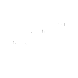 CC(C)(O)c1cccc(-n2ccc3cnc(Cl)nc32)n1